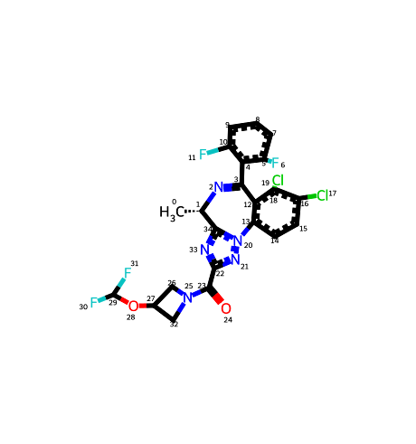 C[C@@H]1N=C(c2c(F)cccc2F)c2c(ccc(Cl)c2Cl)-n2nc(C(=O)N3CC(OC(F)F)C3)nc21